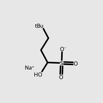 CC(C)(C)CCC(O)S(=O)(=O)[O-].[Na+]